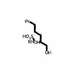 CC(C)CCCCCO.O=S(=O)(O)O.[KH]